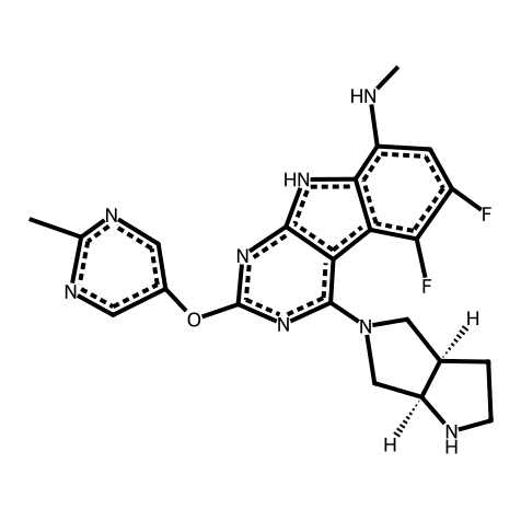 CNc1cc(F)c(F)c2c1[nH]c1nc(Oc3cnc(C)nc3)nc(N3C[C@H]4CCN[C@H]4C3)c12